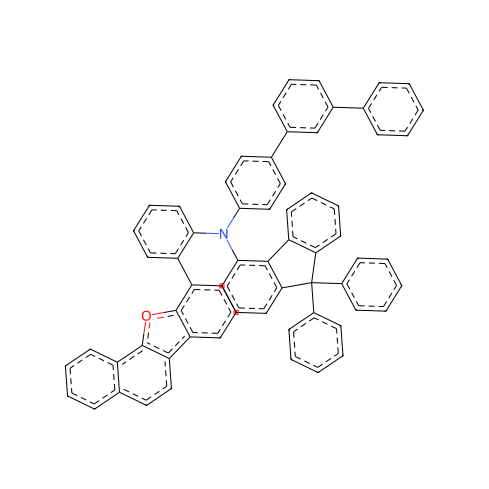 c1ccc(-c2cccc(-c3ccc(N(c4ccccc4-c4cccc5c4oc4c6ccccc6ccc54)c4cccc5c4-c4ccccc4C5(c4ccccc4)c4ccccc4)cc3)c2)cc1